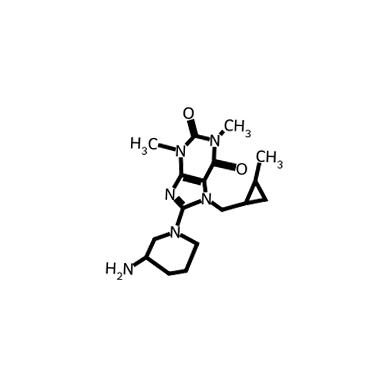 CC1CC1Cn1c(N2CCCC(N)C2)nc2c1c(=O)n(C)c(=O)n2C